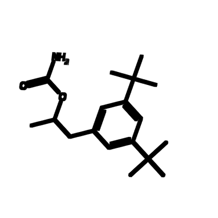 CC(Cc1cc(C(C)(C)C)cc(C(C)(C)C)c1)OC(N)=O